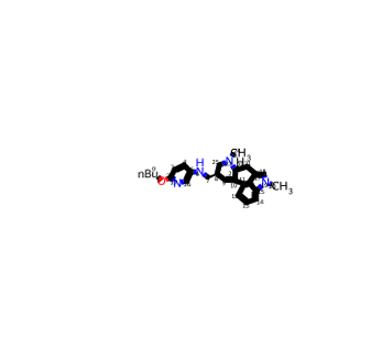 CCCCOc1ccc(NC[C@@H]2C=C3c4cccc5c4c(cn5C)C[C@H]3N(C)C2)cn1